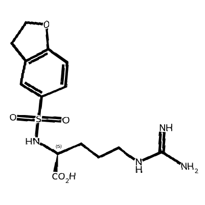 N=C(N)NCCC[C@H](NS(=O)(=O)c1ccc2c(c1)CCO2)C(=O)O